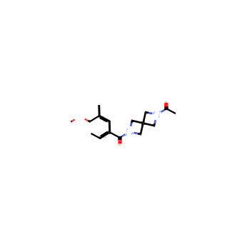 C/C=C(\C=C(\C)COC)C(=O)N1CC2(CN(C(C)=O)C2)C1